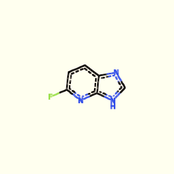 Fc1ccc2nc[nH]c2n1